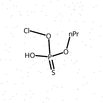 CCCOP(O)(=S)OCl